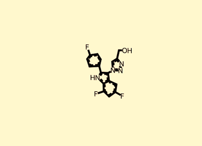 OCc1cn(-c2c(-c3ccc(F)cc3)[nH]c3c(F)cc(F)cc23)nn1